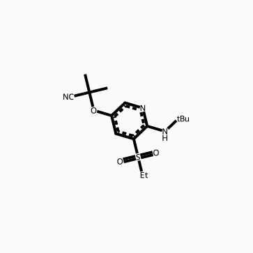 CCS(=O)(=O)c1cc(OC(C)(C)C#N)cnc1NC(C)(C)C